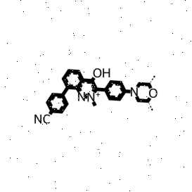 C[C@@H]1CN(c2ccc(-c3c(O)c4cccc(-c5ccc(C#N)cc5)c4n[n+]3C)cc2)C[C@H](C)O1